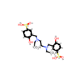 O=C(O)CN(CCN(CC(=O)O)Cc1cc(S(=O)O)ccc1O)Cc1cc(S(=O)O)ccc1O